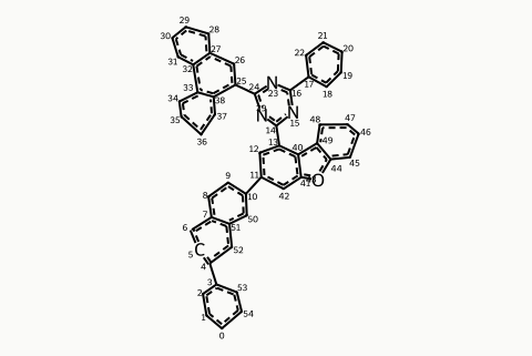 c1ccc(-c2ccc3ccc(-c4cc(-c5nc(-c6ccccc6)nc(-c6cc7ccccc7c7ccccc67)n5)c5c(c4)oc4ccccc45)cc3c2)cc1